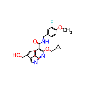 COc1ccc(CNC(=O)c2cc(C3=C\N=C/C=C/C=C\3CO)cnc2OCC2CC2)cc1F